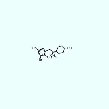 CN(Cc1cc(Br)cc(Br)c1O)[C@H]1CC[C@H](O)CC1